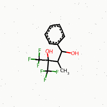 CC(C(O)c1ccccc1)C(O)(C(F)(F)F)C(F)(F)F